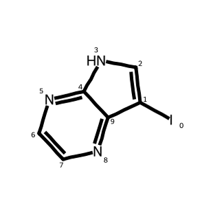 Ic1c[nH]c2nccnc12